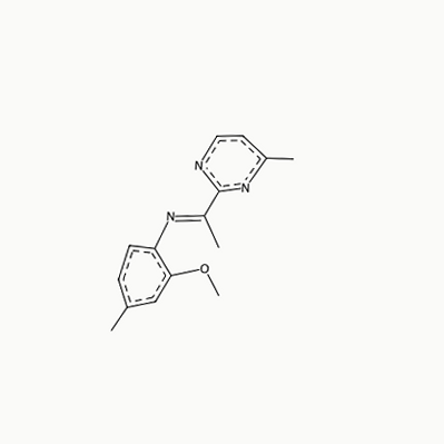 COc1cc(C)ccc1N=C(C)c1nccc(C)n1